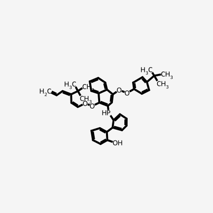 C=C/C=C(\C=C/OOc1c(Pc2ccccc2-c2ccccc2O)cc(OOc2ccc(C(C)(C)C)cc2)c2ccccc12)C(C)(C)C